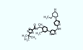 CC[C@H]1CNCCN1c1ccc(Nc2cc(-c3ccc([C@@H](C)NC(=O)c4nc(C(C)(C)C)no4)c(C)c3)ncn2)nc1